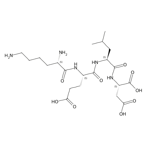 CC(C)C[C@H](NC(=O)[C@H](CCC(=O)O)NC(=O)[C@@H](N)CCCCN)C(=O)N[C@@H](CC(=O)O)C(=O)O